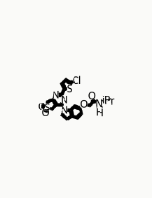 CC(C)NC(=O)COc1ccc2c(c1)N(c1nc(-c3ccc(Cl)s3)nc3c1CS(=O)(=O)C3)CC2